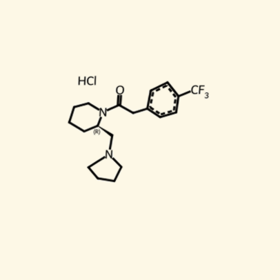 Cl.O=C(Cc1ccc(C(F)(F)F)cc1)N1CCCC[C@@H]1CN1CCCC1